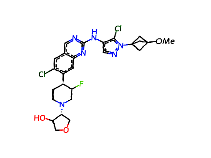 COC12CC(n3ncc(Nc4ncc5cc(Cl)c([C@@H]6CCN([C@@H]7COCC7O)CC6F)cc5n4)c3Cl)(C1)C2